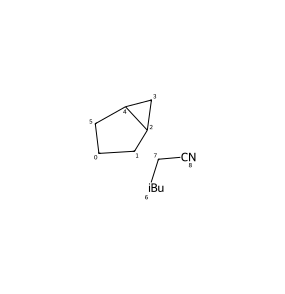 C1CC2CC2C1.CCC(C)CC#N